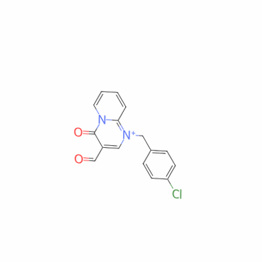 O=Cc1c[n+](Cc2ccc(Cl)cc2)c2ccccn2c1=O